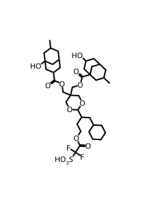 CC1CC2CC(C(=O)OCC3(COC(=O)C45CC(C)CC(CC(O)C4)C5)COC(C(CCOC(=O)C(F)(F)S(=O)(=O)O)CC4CCCCC4)OC3)CC(O)(C1)C2